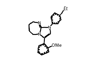 CCc1ccc(N2C=C(c3ccccc3OC)N3CCCCN=C32)cc1